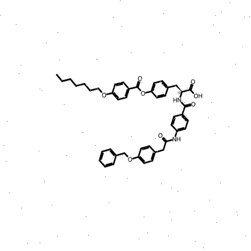 CCCCCCCOc1ccc(C(=O)Oc2ccc(C[C@H](NC(=O)c3ccc(NC(=O)Cc4ccc(OCc5ccccc5)cc4)cc3)C(=O)O)cc2)cc1